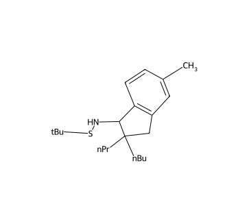 CCCCC1(CCC)Cc2cc(C)ccc2C1NSC(C)(C)C